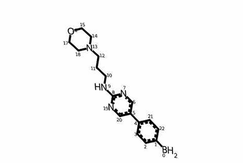 Bc1ccc(-c2cnc(NCCCN3CCOCC3)nc2)cc1